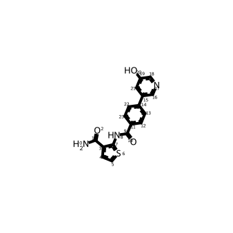 NC(=O)c1ccsc1NC(=O)c1ccc(-c2cncc(O)c2)cc1